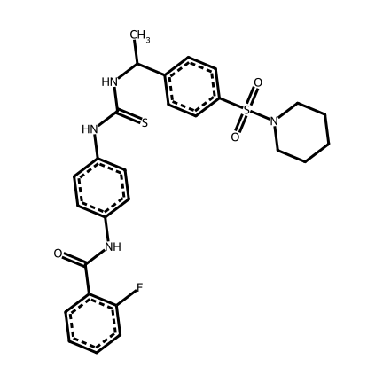 CC(NC(=S)Nc1ccc(NC(=O)c2ccccc2F)cc1)c1ccc(S(=O)(=O)N2CCCCC2)cc1